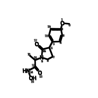 COc1ccc(C2CCN(C(C)C(=O)NO)C2=O)cc1